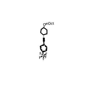 CCCCCCCCO[C@H]1CC[C@H](C#Cc2ccc(S(F)(F)(F)(F)F)cc2)CC1